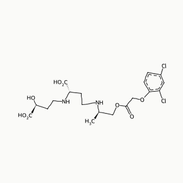 C[C@H](COC(=O)COc1ccc(Cl)cc1Cl)NCC[C@H](NCC[C@H](O)C(=O)O)C(=O)O